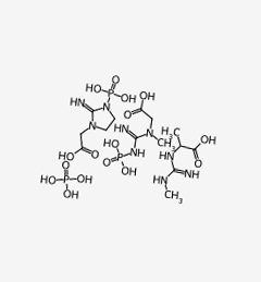 CN(CC(=O)O)C(=N)NP(=O)(O)O.CNC(=N)NC(C)C(=O)O.N=C1N(CC(=O)O)CCN1P(=O)(O)O.O=P(O)(O)O